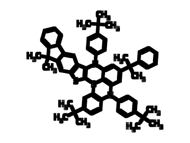 CC(C)(C)c1ccc(N2c3ccc(C(C)(C)C)cc3B3c4sc5cc6c(cc5c4N(c4ccc(C(C)(C)C)cc4)c4cc(C(C)(C)c5ccccc5)cc2c43)-c2ccccc2C6(C)C)cc1